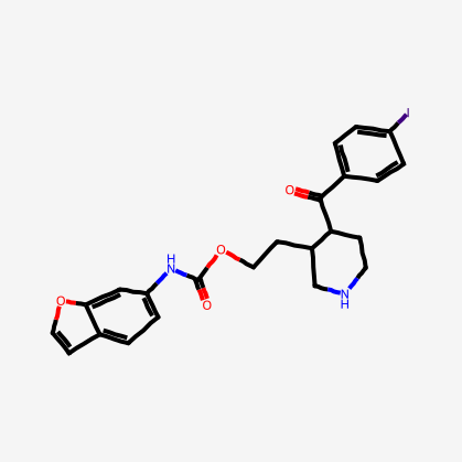 O=C(Nc1ccc2ccoc2c1)OCCC1CNCCC1C(=O)c1ccc(I)cc1